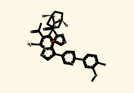 COc1cc(-c2ccc(-c3cnn4c(N)c(C(C)=O)c([C@H]5C[C@H]6CC[C@@H](C5)N6C(=O)c5nnc[nH]5)nc34)cn2)ccc1F